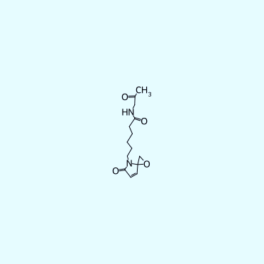 CC(=O)CNC(=O)CCCCCN1C(=O)C=CC12CO2